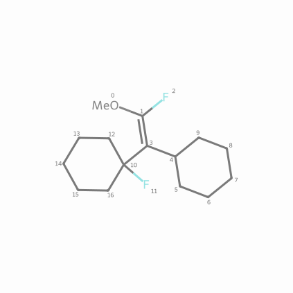 COC(F)=C(C1CCCCC1)C1(F)CCCCC1